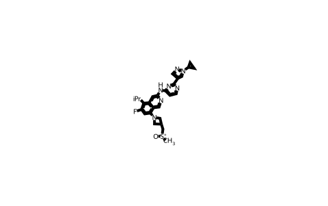 CC(C)c1c(F)cc(N2CC(C[S+](C)[O-])C2)c2cnc(Nc3ccnc(-c4cnn(C5CC5)c4)n3)cc12